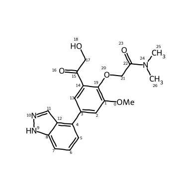 COc1cc(-c2cccc3[nH]ncc23)cc(C(=O)CO)c1OCC(=O)N(C)C